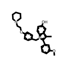 COc1cccc(-c2c(C)c3cc(O)ccc3n2Cc2ccc(OCCN3CCCCC3)cc2)c1